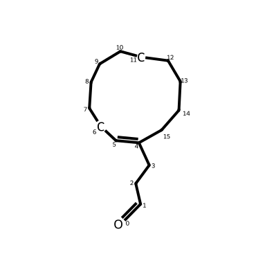 O=CCCC1=CCCCCCCCCCC1